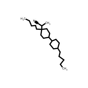 CCCCCC1CCC(C2CCC(CCCCC)(C(C)C#N)CC2)CC1